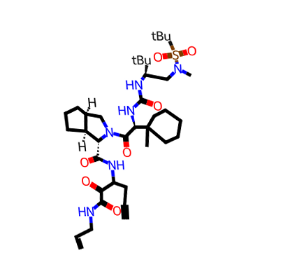 C#CCC(NC(=O)[C@@H]1[C@H]2CCC[C@H]2CN1C(=O)[C@@H](NC(=O)N[C@H](CN(C)S(=O)(=O)C(C)(C)C)C(C)(C)C)C1(C)CCCCC1)C(=O)C(=O)NCC=C